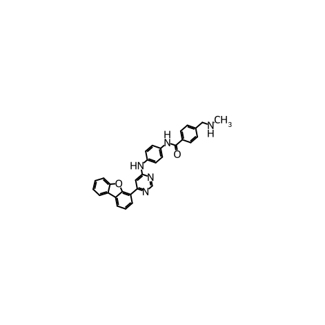 CNCc1ccc(C(=O)Nc2ccc(Nc3cc(-c4cccc5c4oc4ccccc45)ncn3)cc2)cc1